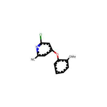 COc1ccccc1Oc1cc(Cl)nc(C#N)c1